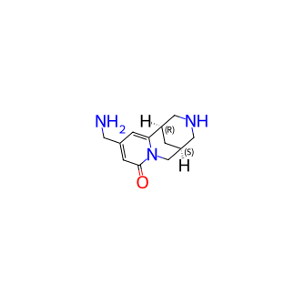 NCc1cc2n(c(=O)c1)C[C@@H]1CNC[C@H]2C1